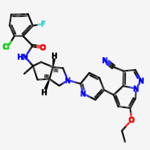 CCOc1cc(-c2ccc(N3C[C@@H]4CC(C)(NC(=O)c5c(F)cccc5Cl)C[C@@H]4C3)nc2)c2c(C#N)cnn2c1